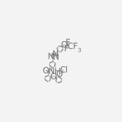 O=C(Nc1ccc(-c2ncn(-c3ccc(OC(F)(F)C(F)(F)F)cc3)n2)cc1)c1ccccc1Oc1ccccc1OCCl